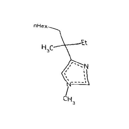 CCCCCCCC(C)(CC)c1cn(C)cn1